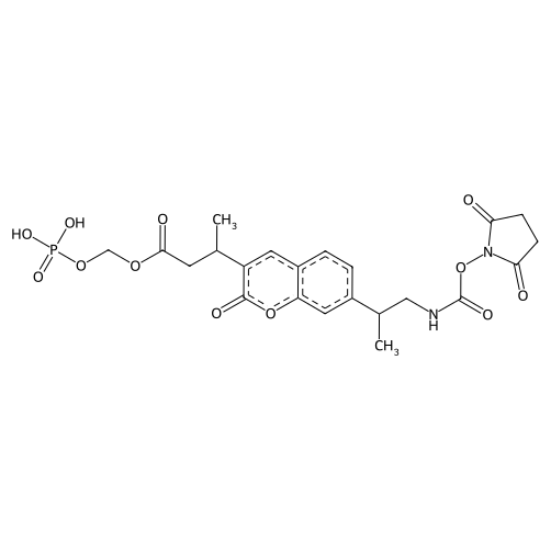 CC(CNC(=O)ON1C(=O)CCC1=O)c1ccc2cc(C(C)CC(=O)OCOP(=O)(O)O)c(=O)oc2c1